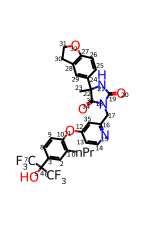 CCCc1cc(C(O)(C(F)(F)F)C(F)(F)F)ccc1Oc1ccnc(CN2C(=O)NC(C)(c3ccc4c(c3)CCO4)C2=O)c1